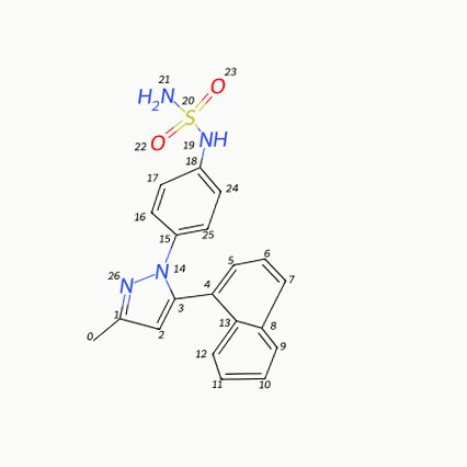 Cc1cc(-c2cccc3ccccc23)n(-c2ccc(NS(N)(=O)=O)cc2)n1